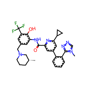 C[C@@H]1CCCN(Cc2cc(NC(=O)c3cc(-c4ccccc4-c4nncn4C)cc(C4CC4)n3)c(O)c(C(F)(F)F)c2)C1